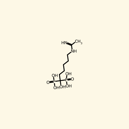 CC(=N)NCCCCCC(O)(P(=O)(O)O)P(=O)(O)O